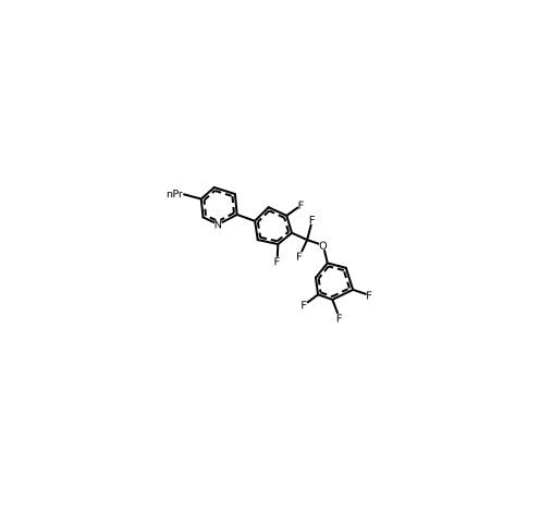 CCCc1ccc(-c2cc(F)c(C(F)(F)Oc3cc(F)c(F)c(F)c3)c(F)c2)nc1